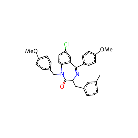 COc1ccc(CN2C(=O)C(Cc3cccc(C)c3)N=C(c3ccc(OC)cc3)c3cc(Cl)ccc32)cc1